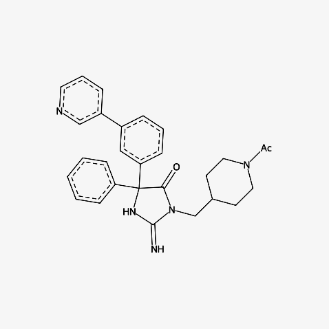 CC(=O)N1CCC(CN2C(=N)NC(c3ccccc3)(c3cccc(-c4cccnc4)c3)C2=O)CC1